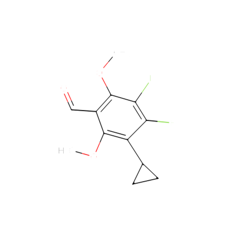 COc1c(F)c(F)c(C2CC2)c(OC)c1C=O